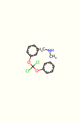 CNC.ClC(Cl)(Oc1ccccc1)Oc1ccccc1